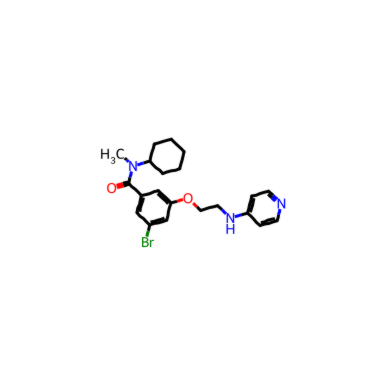 CN(C(=O)c1cc(Br)cc(OCCNc2ccncc2)c1)C1CCCCC1